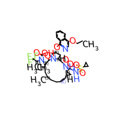 CCCOc1cnc(O[C@@H]2C[C@H]3C(=O)N[C@]4(C(=O)NS(=O)(=O)C5CC5)C[C@H]4/C=C\CC[C@H](C)C[C@@H](C)[C@H](N(C(=O)O)[C@H](C)C(F)(F)F)C(=O)N3C2)c2ccccc12